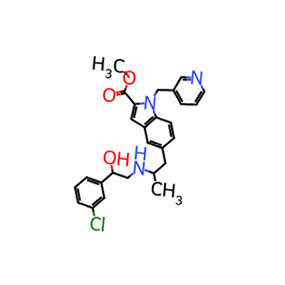 COC(=O)c1cc2cc(CC(C)NCC(O)c3cccc(Cl)c3)ccc2n1Cc1cccnc1